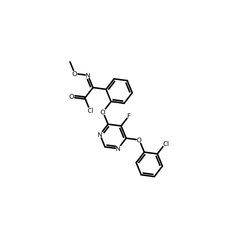 CO/N=C(\C(=O)Cl)c1ccccc1Oc1ncnc(Oc2ccccc2Cl)c1F